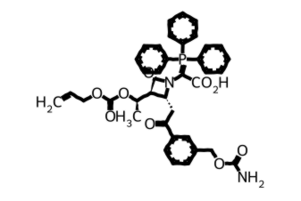 C=CCOC(=O)O[C@H](C)[C@H]1C(=O)N(C(C(=O)O)=P(c2ccccc2)(c2ccccc2)c2ccccc2)[C@@H]1CC(=O)c1cccc(COC(N)=O)c1